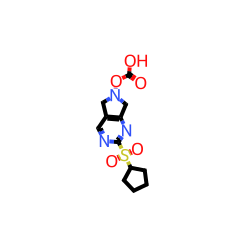 O=C(O)ON1Cc2cnc(S(=O)(=O)C3CCCC3)nc2C1